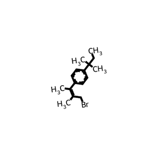 CCC(C)(C)c1ccc(C(C)=C(C)CBr)cc1